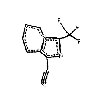 N#Cc1nc(C(F)(F)F)n2ccccc12